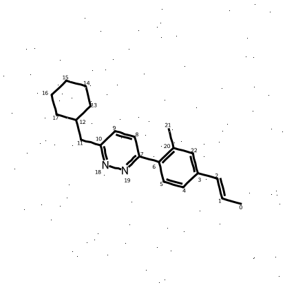 C/C=C/c1ccc(-c2ccc(CC3CCCCC3)nn2)c(C)c1